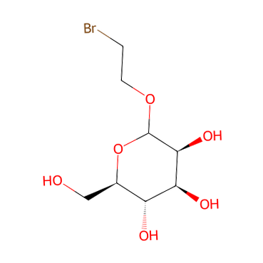 OC[C@H]1OC(OCCBr)[C@@H](O)[C@@H](O)[C@@H]1O